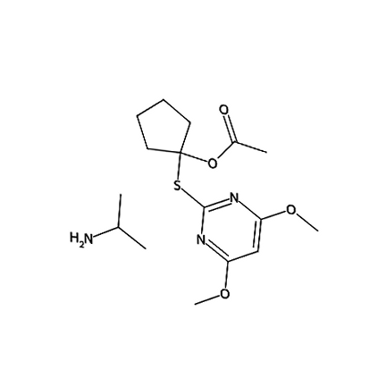 CC(C)N.COc1cc(OC)nc(SC2(OC(C)=O)CCCC2)n1